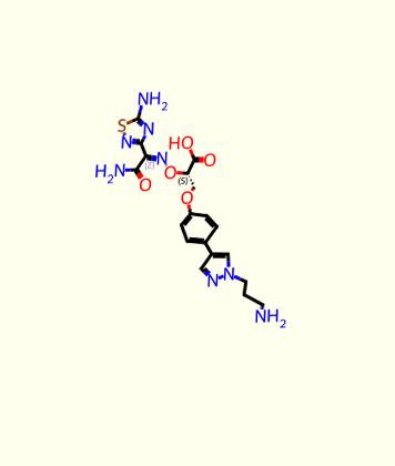 NCCCn1cc(-c2ccc(OC[C@H](O/N=C(\C(N)=O)c3nsc(N)n3)C(=O)O)cc2)cn1